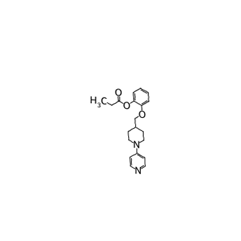 CCC(=O)Oc1ccccc1OCC1CCN(c2ccncc2)CC1